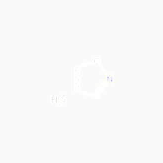 S.c1cnoc1